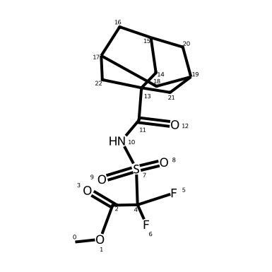 COC(=O)C(F)(F)S(=O)(=O)NC(=O)C12CC3CC(CC(C3)C1)C2